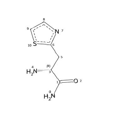 NC(=O)[C@H](N)Cc1nccs1